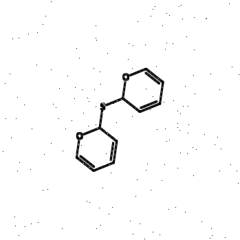 C1=COC(SC2C=CC=CO2)C=C1